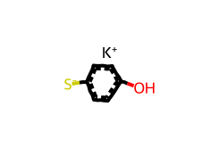 Oc1ccc([S-])cc1.[K+]